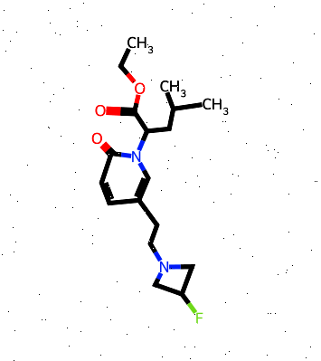 CCOC(=O)C(CC(C)C)n1cc(CCN2CC(F)C2)ccc1=O